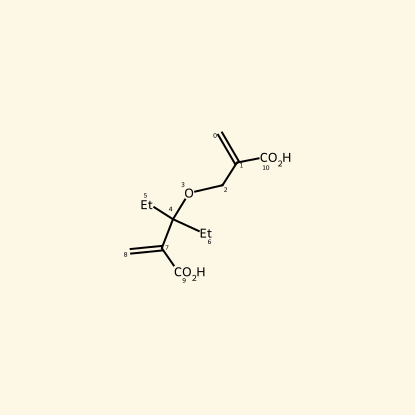 C=C(COC(CC)(CC)C(=C)C(=O)O)C(=O)O